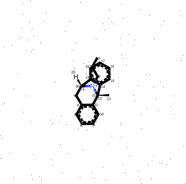 CCCN1[C@@H]2Cc3ccccc3[C@@]1(C)c1ccccc12